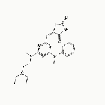 CCN(CC)CCN(C)c1nc(/C=C2/SC(=O)NC2=O)cc(N(C)c2ccccc2)n1